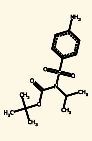 CC(C)N(C(=O)OC(C)(C)C)S(=O)(=O)c1ccc(N)cc1